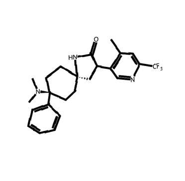 Cc1cc(C(F)(F)F)ncc1C1C[C@]2(CC[C@](c3ccccc3)(N(C)C)CC2)NC1=O